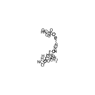 CC1(C)[C@H](NC(=O)c2cnc(N3CCN(CCCCOc4ccc5c(c4)C(=O)N(C4CCC(=O)NC4=O)C5=O)CC3)cc2F)C(C)(C)[C@H]1Oc1ccc(C#N)c(Cl)c1